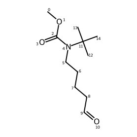 COC(=O)N(CCCCC=O)C(C)(C)C